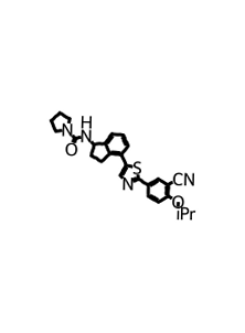 CC(C)Oc1ccc(-c2ncc(-c3cccc4c3CCC4NC(=O)N3CCCC3)s2)cc1C#N